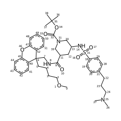 COCCCCC1(CNC(=O)C2CC(NS(=O)(=O)c3ccc(CCCN(C)C)cc3)CN(C(=O)OC(C)(C)C)C2)c2ccccc2Oc2ccccc21